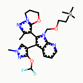 Cc1nn2c(c1-c1c(-c3cn(C)nc3OC(F)F)c3cccnc3n1COCC[Si](C)(C)C)OCCC2